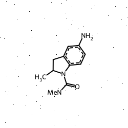 CNC(=O)N1c2ccc(N)cc2CC1C